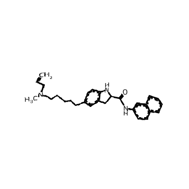 C=CCN(C)CCCCCc1ccc2c(c1)CC(C(=O)Nc1ccc3ccccc3c1)N2